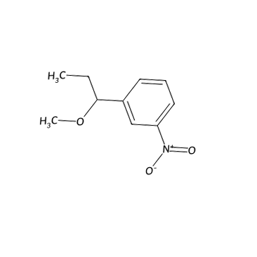 CCC(OC)c1cccc([N+](=O)[O-])c1